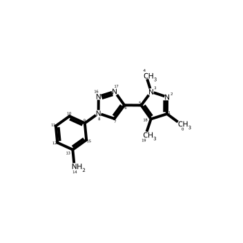 Cc1nn(C)c(-c2cn(-c3cccc(N)c3)nn2)c1C